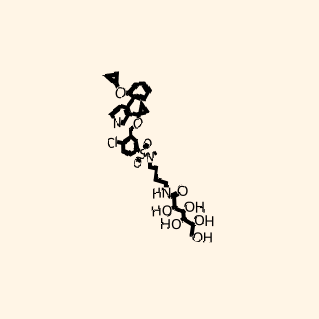 CN(CCCCNC(=O)C(O)C(O)C(O)C(O)CO)S(=O)(=O)c1ccc(Cl)c(COC2(c3cnccc3-c3ccccc3OC3CC3)CC2)c1